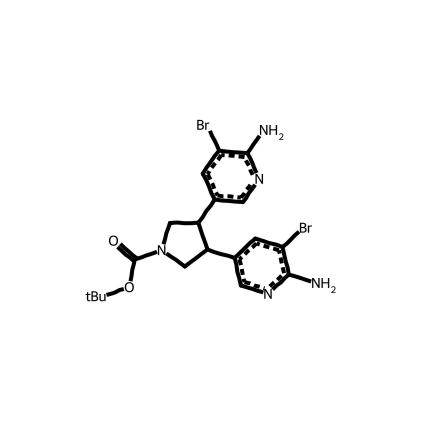 CC(C)(C)OC(=O)N1CC(c2cnc(N)c(Br)c2)C(c2cnc(N)c(Br)c2)C1